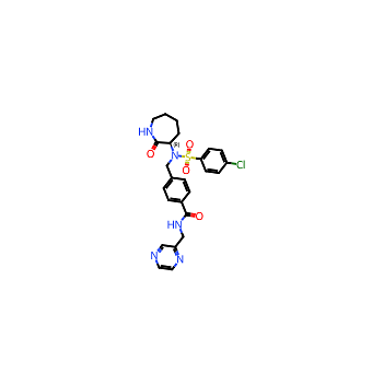 O=C(NCc1cnccn1)c1ccc(CN([C@@H]2CCCCNC2=O)S(=O)(=O)c2ccc(Cl)cc2)cc1